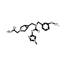 CCCCC(CC)CN1CC2C(C1)C2CN(Cc1cccc(OC(F)(F)F)c1)C(=O)Oc1cn(C)cn1